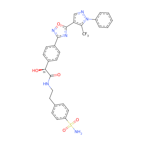 NS(=O)(=O)c1ccc(CCNC(=O)[C@@H](O)c2ccc(-c3noc(-c4cnn(-c5ccccc5)c4C(F)(F)F)n3)cc2)cc1